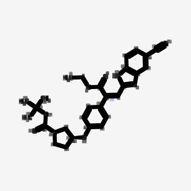 CCOC(=O)/C(=C\c1nc2cc(C#N)ccc2[nH]1)c1ccc(O[C@H]2CCN(C(=O)OC(C)(C)C)C2)cc1